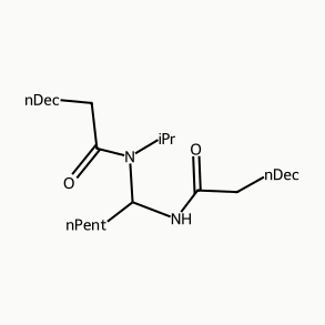 CCCCCCCCCCCC(=O)NC(CCCCC)N(C(=O)CCCCCCCCCCC)C(C)C